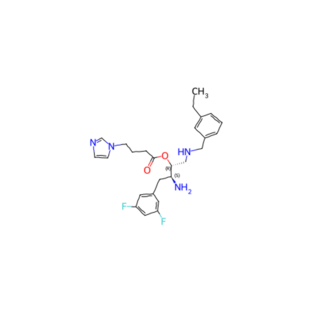 CCc1cccc(CNC[C@@H](OC(=O)CCCn2ccnc2)[C@@H](N)Cc2cc(F)cc(F)c2)c1